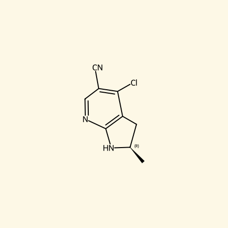 C[C@@H]1Cc2c(ncc(C#N)c2Cl)N1